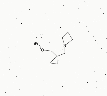 CC(C)OCC1(CN2CCC2)CC1